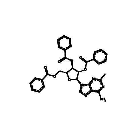 Cc1nc(N)c2ncn([C@H]3O[C@H](COC(=O)c4ccccc4)[C@@H](OC(=O)c4ccccc4)[C@@H]3OC(=O)c3ccccc3)c2n1